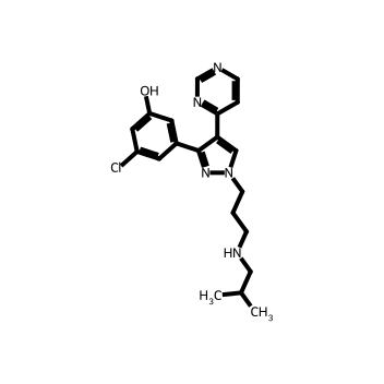 CC(C)CNCCCn1cc(-c2ccncn2)c(-c2cc(O)cc(Cl)c2)n1